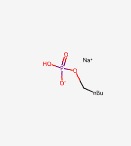 CCCCCOP(=O)([O-])O.[Na+]